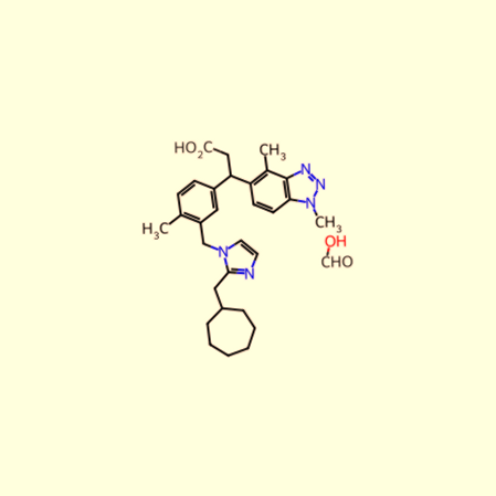 Cc1ccc(C(CC(=O)O)c2ccc3c(nnn3C)c2C)cc1Cn1ccnc1CC1CCCCCC1.O=CO